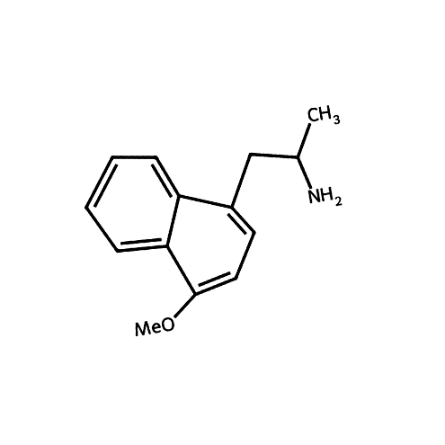 COc1ccc(CC(C)N)c2ccccc12